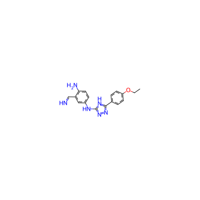 CCOc1ccc(-c2nnc(Nc3ccc(N)c(C=N)c3)[nH]2)cc1